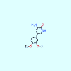 CCOc1ccc(-c2c[nH]c(=O)c(N)c2)cc1OCC